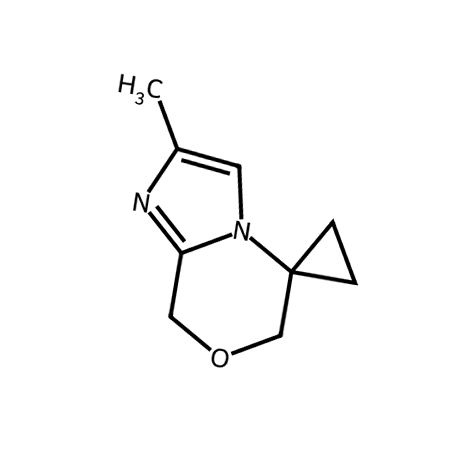 Cc1cn2c(n1)COCC21CC1